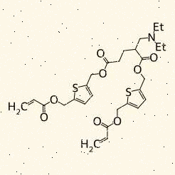 C=CC(=O)OCc1ccc(COC(=O)CCC(CN(CC)CC)C(=O)OCc2ccc(COC(=O)C=C)s2)s1